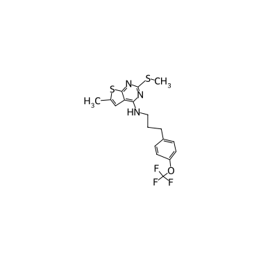 CSc1nc(NCCCc2ccc(OC(F)(F)F)cc2)c2cc(C)sc2n1